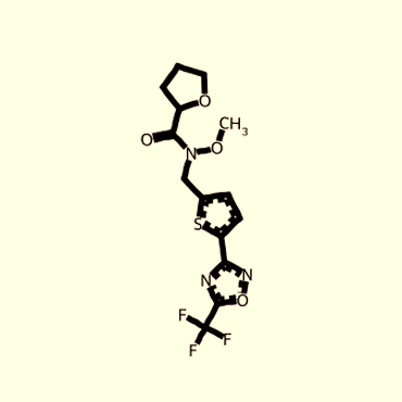 CON(Cc1ccc(-c2noc(C(F)(F)F)n2)s1)C(=O)C1CCCO1